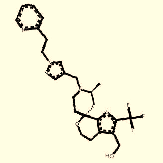 C[C@H]1C[C@@]2(CCN1Cc1cnn(CCc3ccccn3)c1)OCCc1c2sc(C(F)(F)F)c1CO